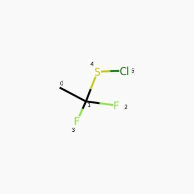 CC(F)(F)SCl